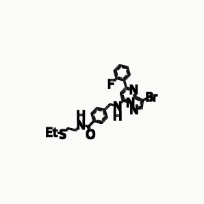 CCSCCNC(=O)c1ccc(CNc2cc(-c3ccccc3F)nc3c(Br)cnn23)cc1